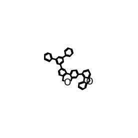 c1ccc(-c2cc(-c3ccccc3)cc(-c3ccc4c(c3)-c3ccc(-c5cccc6oc7ccccc7c56)cc3COC4)c2)cc1